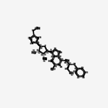 OCc1nnn([C@H]2C[C@@H](n3cnc4c(N[C@H](CO)Cc5ccccc5)nc(Cl)nc43)[C@H](O)[C@@H]2O)n1